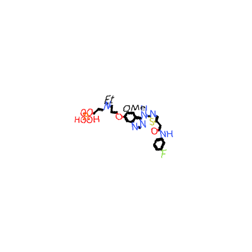 CCN(CCCOc1cc2ncnc(Nc3ncc(CC(=O)Nc4cccc(F)c4)s3)c2cc1OC)CCCOP(=O)(O)O